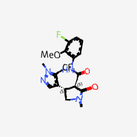 COc1c(F)cccc1NC(=O)[C@H]1C(=O)N(C)C[C@@H]1c1cnn(C)c1C(F)(F)F